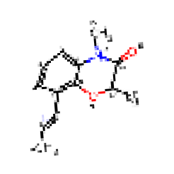 C/C=C/c1cccc2c1OC(CC)C(=O)N2C